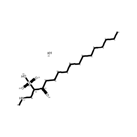 CCCCCCCCCCCCCC(=O)C(CNC)S(=O)(=O)O.[KH]